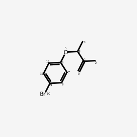 C=C(C)C(C)Oc1ccc(Br)cc1